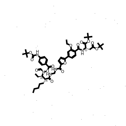 CCCCC[C@@H](C(=O)NCNC(=O)c1ccc(-c2ccc(C(=O)N[C@@H](CC(=O)OC(C)(C)C)C(=O)OC(C)(C)C)c(OCC)c2)o1)[C@@H](CC)N(C=O)OC(=O)c1ccc(NC(=O)OC(C)(C)C)cc1